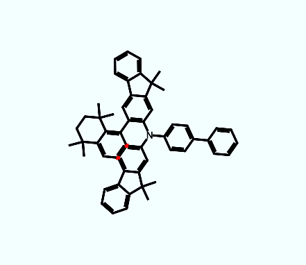 CC1(C)CCC(C)(C)c2c(-c3cc4c(cc3N(c3ccc(-c5ccccc5)cc3)c3ccc5c(c3)C(C)(C)c3ccccc3-5)C(C)(C)c3ccccc3-4)cccc21